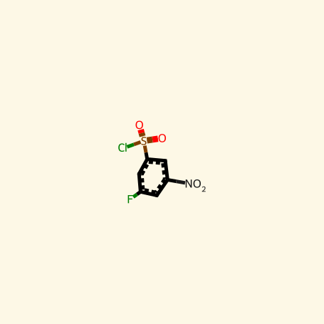 O=[N+]([O-])c1cc(F)cc(S(=O)(=O)Cl)c1